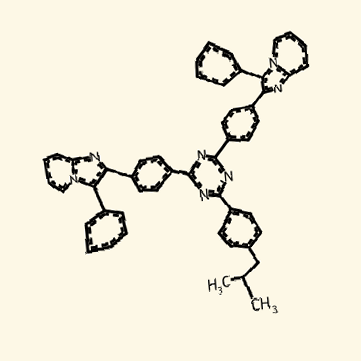 CC(C)Cc1ccc(-c2nc(-c3ccc(-c4nc5ccccn5c4-c4ccccc4)cc3)nc(-c3ccc(-c4nc5ccccn5c4-c4ccccc4)cc3)n2)cc1